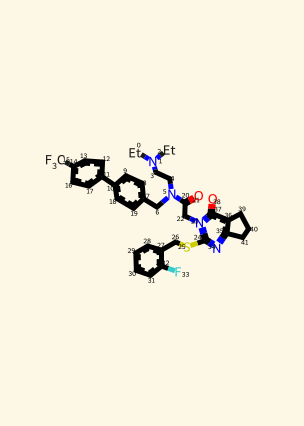 CCN(CC)CCN(Cc1ccc(-c2ccc(C(F)(F)F)cc2)cc1)C(=O)Cn1c(SCc2ccccc2F)nc2c(c1=O)CCC2